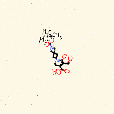 CC(C)(C)OC(=O)N1CC2(CC(n3ccc(C(=O)O)c(C=O)c3=O)C2)C1